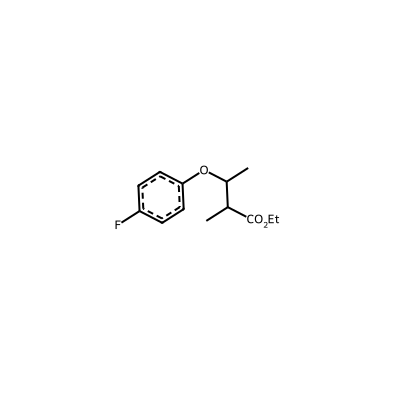 CCOC(=O)C(C)C(C)Oc1ccc(F)cc1